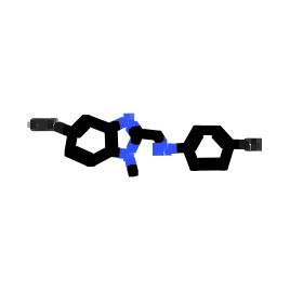 Cn1c(CNc2ccc(C#N)cc2)nc2cc([C]=O)ccc21